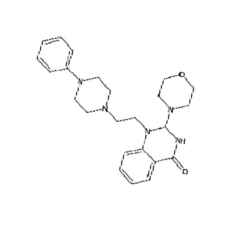 O=C1NC(N2CCOCC2)N(CCN2CCN(c3ccccc3)CC2)c2ccccc21